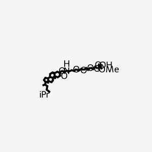 COP(=O)(O)OCCOCCOCCOCCCNC(=O)OC1CCC2(C)C(=CCC3C2CCC2(C)C(C(C)CCCC(C)C)CCC32)C1